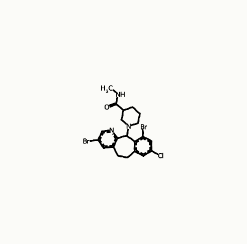 CNC(=O)C1CCCN(C2c3ncc(Br)cc3CCc3cc(Cl)cc(Br)c32)C1